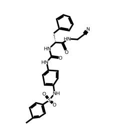 Cc1ccc(S(=O)(=O)Nc2ccc(NC(=O)N[C@H](Cc3ccccc3)C(=O)NCC#N)cc2)cc1